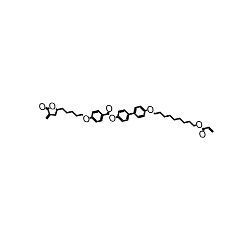 C=CC(=O)OCCCCCCCCCOc1ccc(-c2ccc(OC(=O)c3ccc(OCCCCCC4CC(=C)C(=O)O4)cc3)cc2)cc1